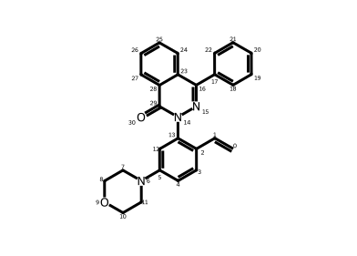 C=Cc1ccc(N2CCOCC2)cc1-n1nc(-c2ccccc2)c2ccccc2c1=O